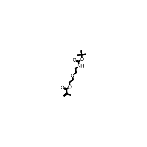 C=C(C)C(=O)OCCOCCNC(=O)OC(C)(C)C